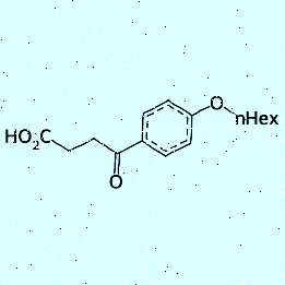 CCCCCCOc1ccc(C(=O)CCC(=O)O)cc1